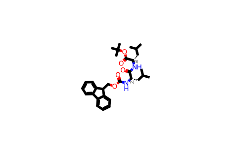 CC(C)C[C@H](NC(=O)OCC1c2ccccc2-c2ccccc21)C(=O)N[C@@H](CC(C)C)C(=O)OC(C)(C)C